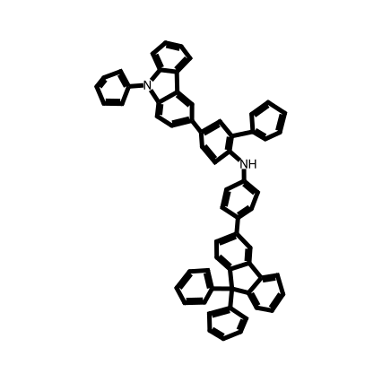 c1ccc(-c2cc(-c3ccc4c(c3)c3ccccc3n4-c3ccccc3)ccc2Nc2ccc(-c3ccc4c(c3)-c3ccccc3C4(c3ccccc3)c3ccccc3)cc2)cc1